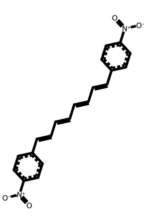 O=[N+]([O-])c1ccc(C=CC=CC=CC=Cc2ccc([N+](=O)[O-])cc2)cc1